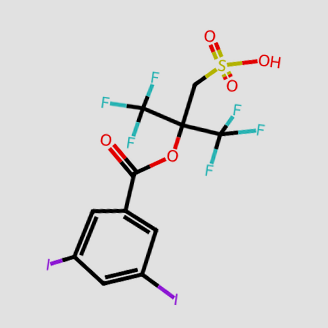 O=C(OC(CS(=O)(=O)O)(C(F)(F)F)C(F)(F)F)c1cc(I)cc(I)c1